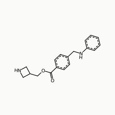 O=C(OCC1CNC1)c1ccc(CNc2ccccc2)cc1